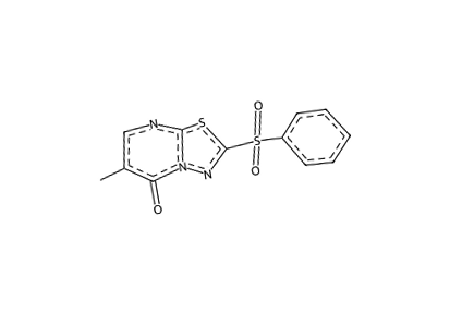 Cc1cnc2sc(S(=O)(=O)c3ccccc3)nn2c1=O